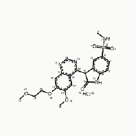 CNS(=O)(=O)c1ccc2c(c1)C(c1ncnc3cc(OCCOC)c(OC)cc13)C(=O)N2.Cl